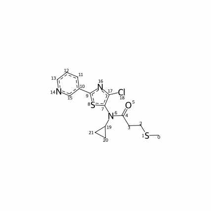 CSCCC(=O)N(c1sc(-c2cccnc2)nc1Cl)C1CC1